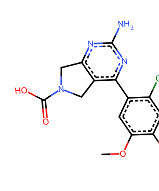 COc1cc(-c2nc(N)nc3c2CN(C(=O)O)C3)c(Cl)cc1Br